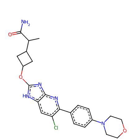 CC(C(N)=O)C1CC(Oc2nc3nc(-c4ccc(N5CCOCC5)cc4)c(Cl)cc3[nH]2)C1